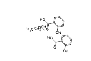 C.C.C.C.O=C(O)c1ccccc1O.O=C(O)c1ccccc1O